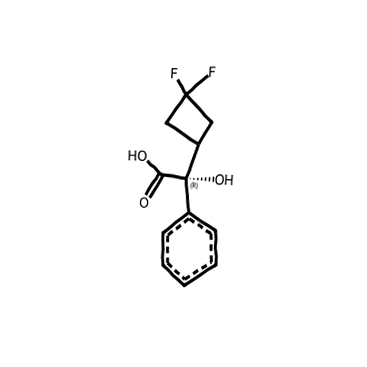 O=C(O)[C@](O)(c1ccccc1)C1CC(F)(F)C1